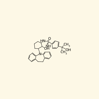 CC(C)(O)c1ccc(S(=N)(=O)NC2CCCC(N3c4ccccc4CCc4ccccc43)C2O)cc1